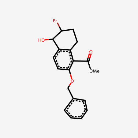 COC(=O)c1c(OCc2ccccc2)ccc2c1CCC(Br)C2O